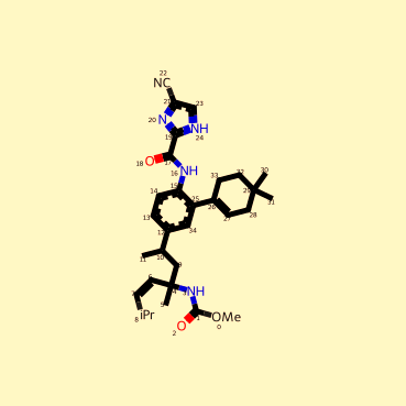 COC(=O)NC(C)(/C=C\C(C)C)CC(C)c1ccc(NC(=O)c2nc(C#N)c[nH]2)c(C2=CCC(C)(C)CC2)c1